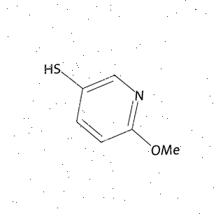 COc1ccc(S)cn1